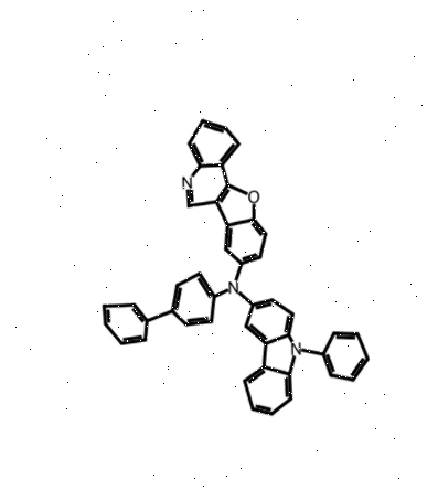 c1ccc(-c2ccc(N(c3ccc4oc5c6ccccc6ncc5c4c3)c3ccc4c(c3)c3ccccc3n4-c3ccccc3)cc2)cc1